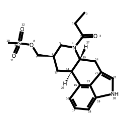 CCC(=O)N1C[C@H](COS(C)(=O)=O)C[C@@H]2c3cccc4[nH]cc(c34)C[C@H]21